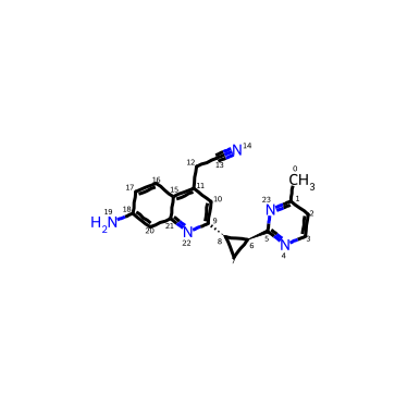 Cc1ccnc([C@H]2C[C@@H]2c2cc(CC#N)c3ccc(N)cc3n2)n1